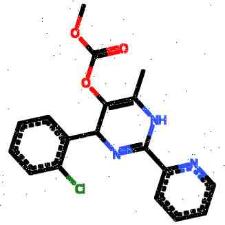 COC(=O)OC1=C(C)NC(c2ccccn2)=NC1c1ccccc1Cl